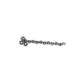 CCCOCCOCCOCCOCCOCCOCCOCCOCCOCCOC(c1ccccc1)(c1ccccc1)c1ccccc1